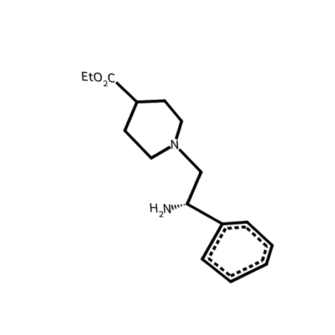 CCOC(=O)C1CCN(C[C@@H](N)c2ccccc2)CC1